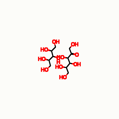 O=C(CO)[C@H](O)[C@@H](O)[C@H](O)CO.OC[C@@H](O)[C@H](O)[C@@H](O)CO